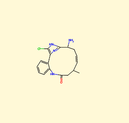 CC1/C=C\CC(N)c2nc(c(Cl)[nH]2)-c2ccccc2NC(=O)C1